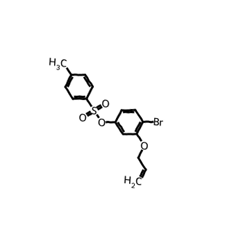 C=CCOc1cc(OS(=O)(=O)c2ccc(C)cc2)ccc1Br